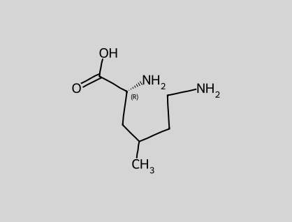 CC(CCN)C[C@@H](N)C(=O)O